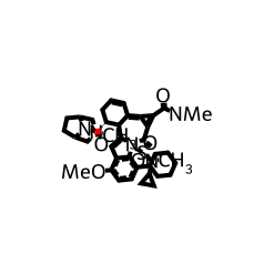 CNC(=O)C1=C2C[N+]3(S(=O)(=O)N(C)C4CC4)C(=Cc4c(OC)ccc(C5CCCCC5)c43)C3C(=C21)C=CC[C@H]3C(=O)N1C2CCC1CN(C)C2